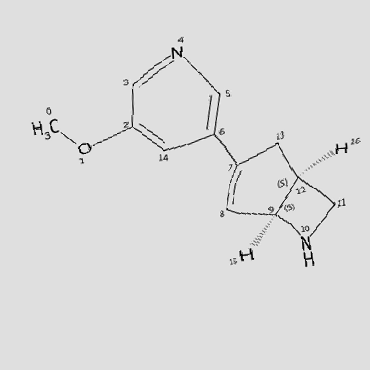 COc1cncc(C2=C[C@@H]3NC[C@@H]3C2)c1